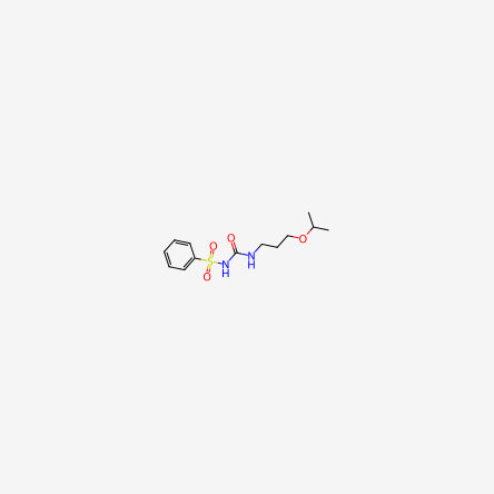 CC(C)OCCCNC(=O)NS(=O)(=O)c1ccccc1